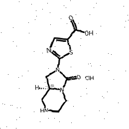 Cl.O=C(O)c1cnc(N2C[C@@H]3CNCCN3C2=O)s1